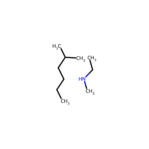 CCCCC(C)C.CCNC